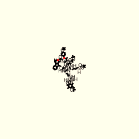 Cc1c(C)c(S(=O)(=O)NC(=N)NCCC[C@H](NC(=O)OCC2c3ccccc3-c3ccccc32)C(=O)N[C@@H](CCCCNC(=O)OC(C)(C)C)C(=O)N[C@@H](CC(=O)OC(C)(C)C)C(=O)N[C@H](C(=O)N[C@@H](Cc2ccc(OC(C)(C)C)cc2)C(=O)O)C(C)C)c(C)c2c1OC(C)(C)C2